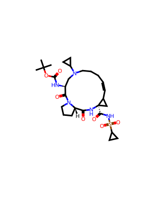 CC(C)(C)OC(=O)N[C@H]1CN(C2CC2)CCC/C=C\C2C[C@@]2(C(=O)NS(=O)(=O)C2CC2)NC(=O)[C@@H]2CCCN2C1=O